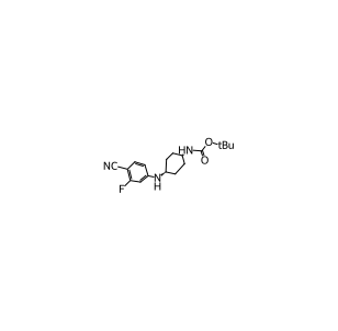 CC(C)(C)OC(=O)N[C@H]1CC[C@@H](Nc2ccc(C#N)c(F)c2)CC1